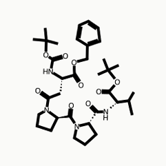 CC(C)[C@H](NC(=O)[C@@H]1CCCN1C(=O)[C@H]1CCCN1C(=O)C[C@H](NC(=O)OC(C)(C)C)C(=O)OCc1ccccc1)C(=O)OC(C)(C)C